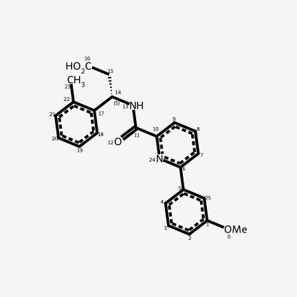 COc1cccc(-c2cccc(C(=O)N[C@@H](CC(=O)O)c3ccccc3C)n2)c1